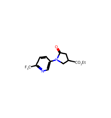 CCOC(=O)C1CC(=O)N(c2ccc(C(F)(F)F)nc2)C1